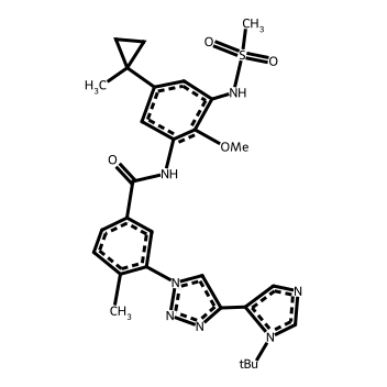 COc1c(NC(=O)c2ccc(C)c(-n3cc(-c4cncn4C(C)(C)C)nn3)c2)cc(C2(C)CC2)cc1NS(C)(=O)=O